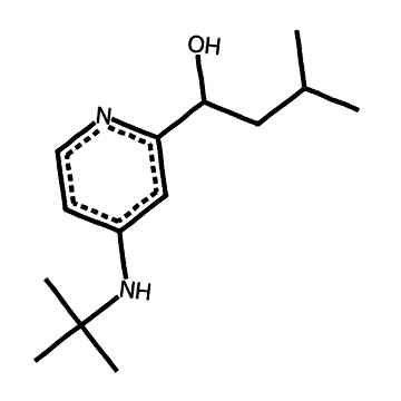 CC(C)CC(O)c1cc(NC(C)(C)C)ccn1